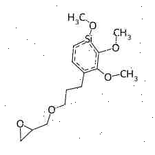 COc1c(CCCOCC2CO2)cc[si](OC)c1OC